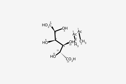 CC(C)=O.CC(C)=O.O=C(O)[C@@H](O)[C@H](O)[C@@H](O)[C@@H](O)C(=O)O